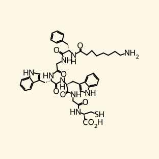 NCCCCCCCC(=O)N[C@@H](Cc1ccccc1)C(=O)NCC(=O)N[C@@H](Cc1c[nH]c2ccccc12)C(=O)N[C@@H](Cc1c[nH]c2ccccc12)C(=O)NCC(=O)N[C@@H](CS)C(=O)O